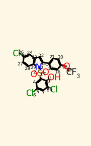 O=S(=O)(c1cc(Cl)cc(Cl)c1O)n1c(-c2ccc(OC(F)(F)F)cc2)cc2cc(Cl)ccc21